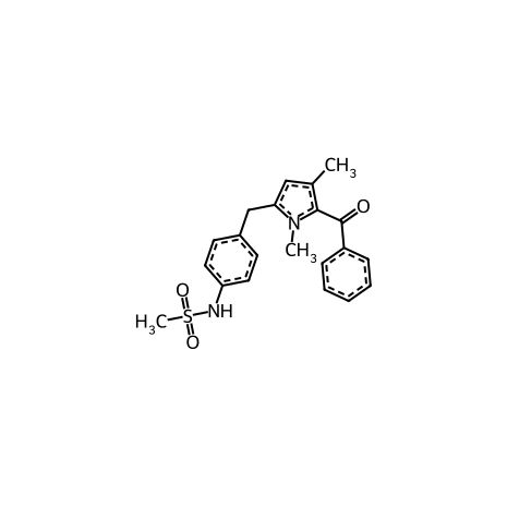 Cc1cc(Cc2ccc(NS(C)(=O)=O)cc2)n(C)c1C(=O)c1ccccc1